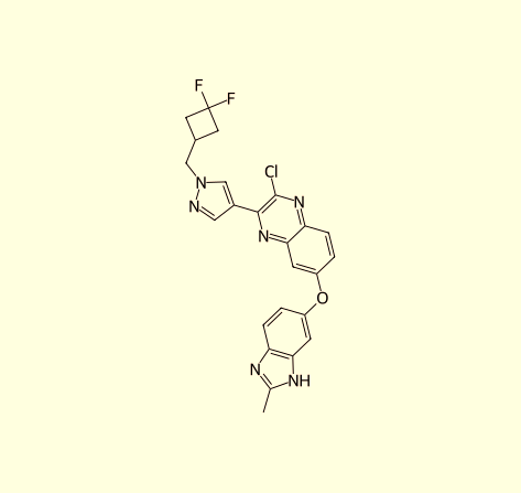 Cc1nc2ccc(Oc3ccc4nc(Cl)c(-c5cnn(CC6CC(F)(F)C6)c5)nc4c3)cc2[nH]1